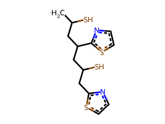 [CH2]C(S)CC(CC(S)Cc1nccs1)c1nccs1